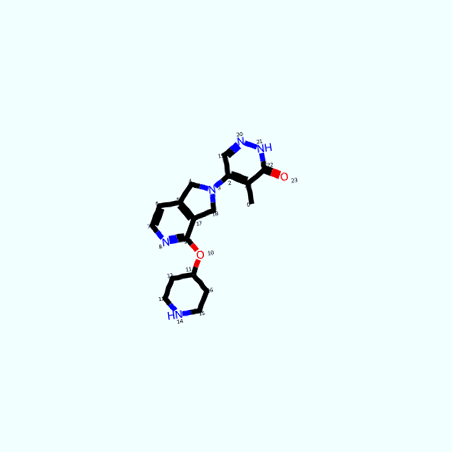 Cc1c(N2Cc3ccnc(OC4CCNCC4)c3C2)cn[nH]c1=O